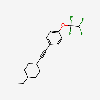 CCC1CCC(C#Cc2ccc(OC(F)(F)C(F)F)cc2)CC1